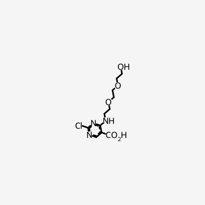 O=C(O)c1cnc(Cl)nc1NCCOCCOCCO